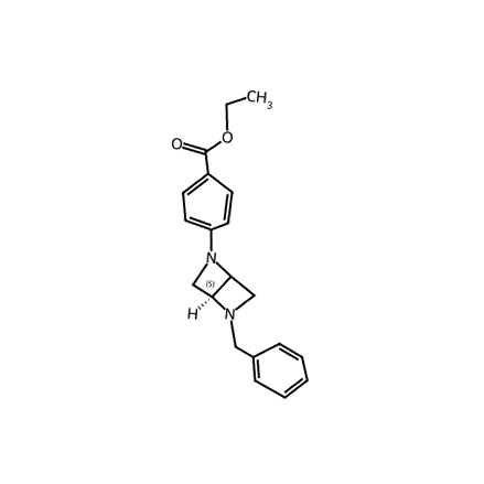 CCOC(=O)c1ccc(N2C[C@H]3C2CN3Cc2ccccc2)cc1